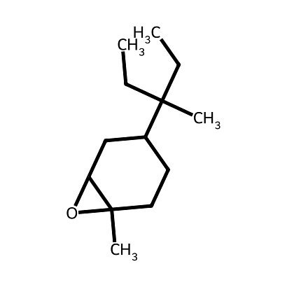 CCC(C)(CC)C1CCC2(C)OC2C1